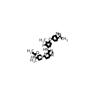 C=CC(=O)NC1(C)CCN(c2ccc3ncnc(Nc4ccc(Oc5ccc6c(c5)nnn6C)c(C)c4F)c3n2)CC1